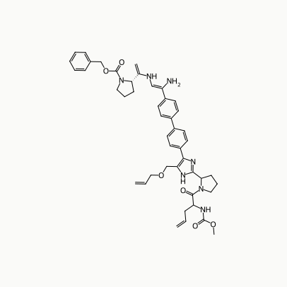 C=CCOCc1[nH]c(C2CCCN2C(=O)C(CC=C)NC(=O)OC)nc1-c1ccc(-c2ccc(/C(N)=C/NC(=C)[C@@H]3CCCN3C(=O)OCc3ccccc3)cc2)cc1